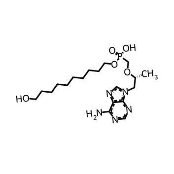 C[C@H](Cn1cnc2c(N)ncnc21)OCP(=O)(O)OCCCCCCCCCCO